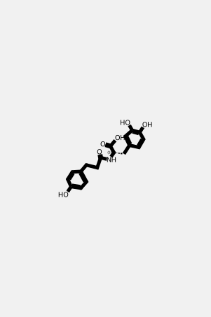 O=C(CCc1ccc(O)cc1)N[C@@H](Cc1ccc(O)c(O)c1)C(=O)O